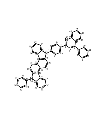 c1ccc(-c2nc(-c3ccc(-n4c5ccccc5c5c6ccc7c(c6ccc54)c4ccccc4n7-c4ccccc4)cc3)nc3ccccc23)cc1